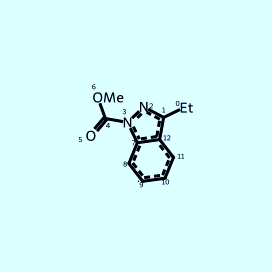 CCc1nn(C(=O)OC)c2c[c]ccc12